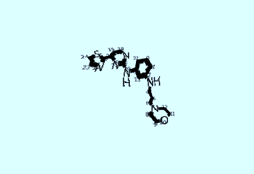 c1cc(NCCCN2CCOCC2)cc(Nc2nccc(-c3nccs3)n2)c1